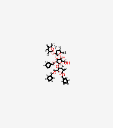 CCC1O[C@@H](OC2[C@H](O[C@@H]3C(OCc4ccccc4)[C@H](O[C@@H]4C(COCc5ccccc5)O[C@@H](OCc5ccccc5)C(C)[C@H]4C)OC(CO)[C@H]3O)OC(CC)[C@H](C)[C@H]2C)C(C)[C@@H](C)C1C